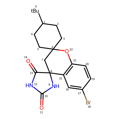 CC(C)(C)C1CCC2(CC1)CC1(NC(=O)NC1=O)c1cc(Br)ccc1O2